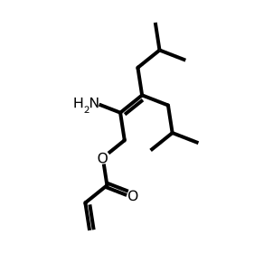 C=CC(=O)OCC(N)=C(CC(C)C)CC(C)C